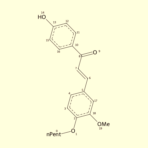 CCCCCOc1ccc(/C=C/C(=O)c2ccc(O)cc2)cc1OC